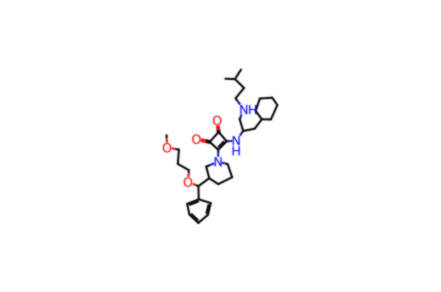 COCCCOC(c1ccccc1)C1CCCN(c2c(NC(CNCCC(C)C)CC3CCCCC3)c(=O)c2=O)C1